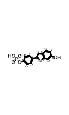 O=P(O)(O)Oc1ccc(C2=Nc3cc(O)ccc3C2)cc1